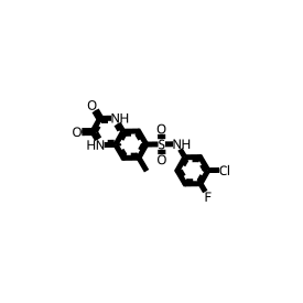 Cc1cc2[nH]c(=O)c(=O)[nH]c2cc1S(=O)(=O)Nc1ccc(F)c(Cl)c1